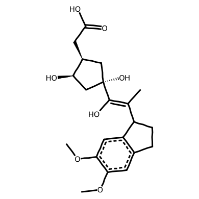 COc1cc2c(cc1OC)C(C(C)=C(O)[C@]1(O)C[C@H](CC(=O)O)[C@H](O)C1)CC2